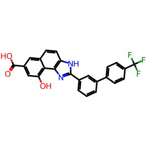 O=C(O)c1cc(O)c2c(ccc3[nH]c(-c4cccc(-c5ccc(C(F)(F)F)cc5)c4)nc32)c1